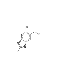 Cc1nc2cc(CF)c(C(C)C)cn2n1